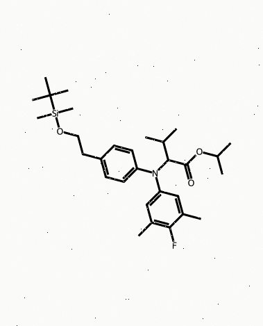 Cc1cc(N(c2ccc(CCO[Si](C)(C)C(C)(C)C)cc2)C(C(=O)OC(C)C)C(C)C)cc(C)c1F